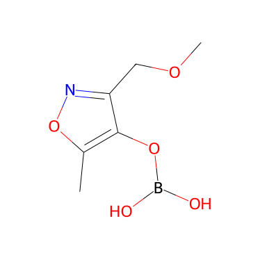 COCc1noc(C)c1OB(O)O